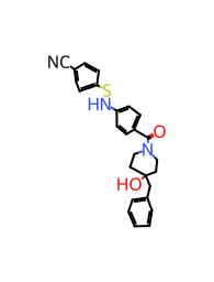 N#Cc1ccc(SNc2ccc(C(=O)N3CCC(O)(Cc4ccccc4)CC3)cc2)cc1